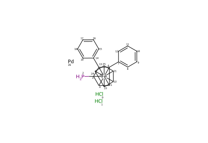 Cl.Cl.P[C]12[CH]3[CH]4[C]5(c6ccccc6)[C]1(c1ccccc1)[Fe]34251678[CH]2[CH]1[CH]6[CH]7[CH]28.[Pd]